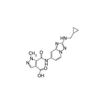 Cn1ncc(C(=O)O)c1C(=O)Nc1ccn2nc(NCC3CC3)nc2c1